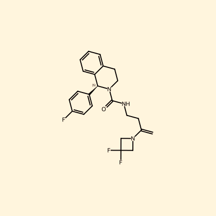 C=C(CCNC(=O)N1CCc2ccccc2[C@@H]1c1ccc(F)cc1)N1CC(F)(F)C1